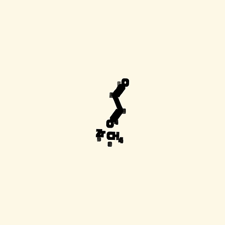 C.O=CC=O.[Zr]